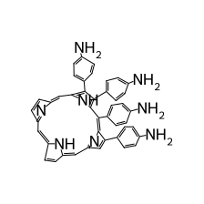 Nc1ccc(C2=Cc3cc4ccc(cc5nc(cc6[nH]c(c(-c7ccc(N)cc7)c2n3)c(-c2ccc(N)cc2)c6-c2ccc(N)cc2)C=C5)[nH]4)cc1